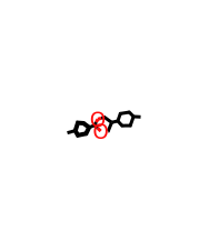 Cc1ccc(C2OCC(C3CCC(C)CC3)CO2)cc1